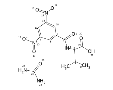 CC(C)C(NC(=O)c1cc([N+](=O)[O-])cc([N+](=O)[O-])c1)C(=O)O.NC(N)=O